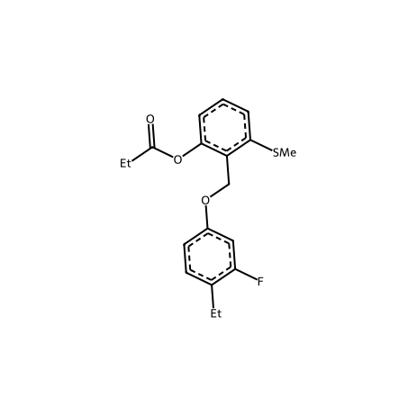 CCC(=O)Oc1cccc(SC)c1COc1ccc(CC)c(F)c1